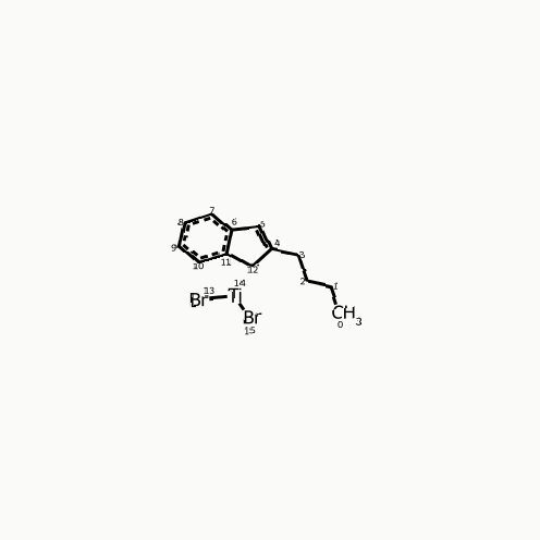 CCCCC1=Cc2ccccc2[CH]1.[Br][Ti][Br]